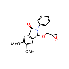 COc1cc2c(cc1OC)C(OCC1CO1)N(c1ccccc1)C2=O